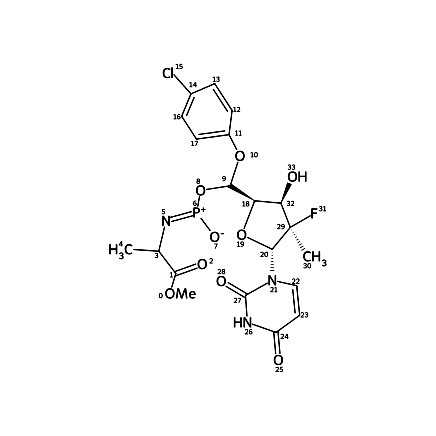 COC(=O)C(C)/N=[P+](\[O-])OC(Oc1ccc(Cl)cc1)[C@@H]1O[C@@H](n2ccc(=O)[nH]c2=O)[C@](C)(F)[C@@H]1O